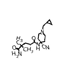 CC(C)(C[CH]C(=O)NC1(C#N)CCN(CC2CC2)CC1)C(N)=O